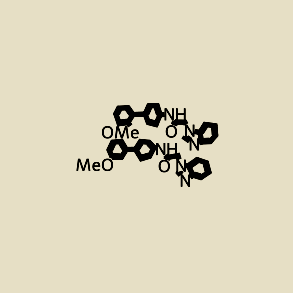 COc1cccc(-c2ccc(NC(=O)Cn3cnc4ccccc43)cc2)c1.COc1ccccc1-c1ccc(NC(=O)Cn2cnc3ccccc32)cc1